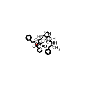 CC(Cc1ccccc1)NC(=O)Nc1ncnc(NC2O[C@H](C(=O)N3CCCC3C(=O)O)C3OC(Cc4ccccc4)OC23)c1N